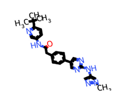 Cn1cc(Nc2ncc(-c3ccc(CC(=O)Nc4ccc(C(C)(C)C)nc4)cc3)cn2)cn1